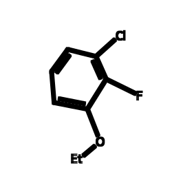 CCOc1cccc(Cl)c1F